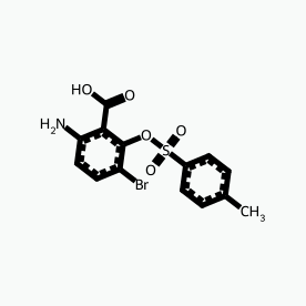 Cc1ccc(S(=O)(=O)Oc2c(Br)ccc(N)c2C(=O)O)cc1